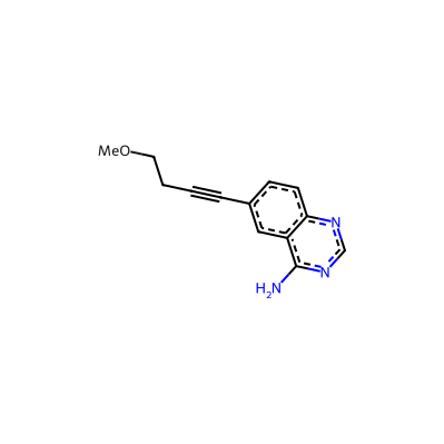 COCCC#Cc1ccc2ncnc(N)c2c1